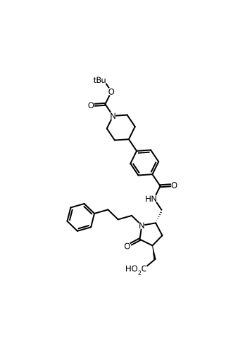 CC(C)(C)OC(=O)N1CCC(c2ccc(C(=O)NC[C@@H]3C[C@@H](CC(=O)O)C(=O)N3CCCc3ccccc3)cc2)CC1